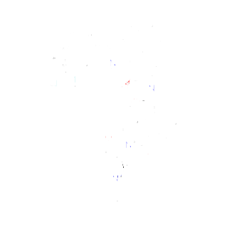 Cc1csc([C@H]2COCN2C(=O)c2cccc(C(=O)N[C@@H](Cc3ccccc3)[C@@H](O)CNCc3cccc(C(F)(F)F)c3)c2)n1